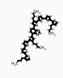 CCCCc1ccsc1-c1ccc(-c2ccc(-c3sc(-c4ccc(-c5cc(CCCC)c(-c6ccc(-c7ccc(-c8sccc8CCCC)s7)s6)s5)c5nsnc45)cc3CCCC)s2)s1